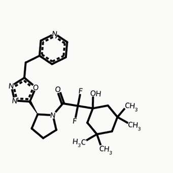 CC1(C)CC(C)(C)CC(O)(C(F)(F)C(=O)N2CCC[C@H]2c2nnc(Cc3cccnc3)o2)C1